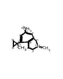 CN1CCc2c(cc(N)cc2C2(C)CC2)C1